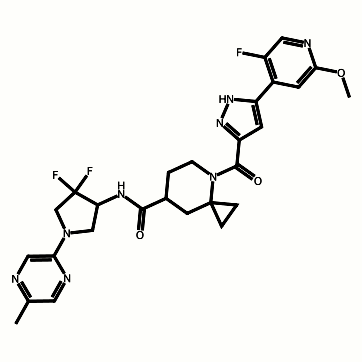 COc1cc(-c2cc(C(=O)N3CCC(C(=O)NC4CN(c5cnc(C)cn5)CC4(F)F)CC34CC4)n[nH]2)c(F)cn1